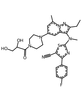 CCc1nn2c(C)cc(N3CCN(C(=O)C(O)CO)CC3)cc2c1N(C)c1nc(-c2ccc(F)cc2)c(C#N)s1